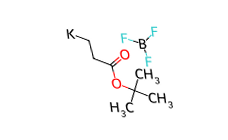 CC(C)(C)OC(=O)C[CH2][K].FB(F)F